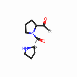 CCC(=O)C1CCCN1C(=O)[C@@H]1CCCN1